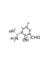 CCC[C@@H](N)c1cc(C)cc(C=O)c1O